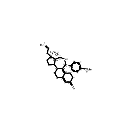 C=CC[C@]1(O)CCC2C3CCC4=CC(=O)CCC4=C3[C@H](c3ccc(OC)cc3)OC[C@@]21C